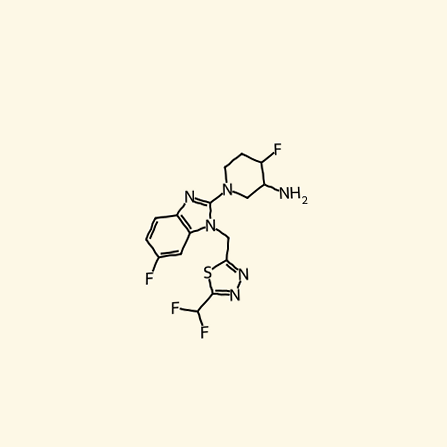 NC1CN(c2nc3ccc(F)cc3n2Cc2nnc(C(F)F)s2)CCC1F